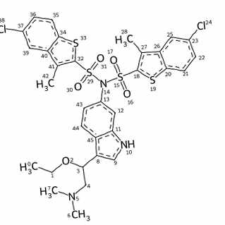 CCOC(CN(C)C)c1c[nH]c2cc(N(S(=O)(=O)c3sc4ccc(Cl)cc4c3C)S(=O)(=O)c3sc4ccc(Cl)cc4c3C)ccc12